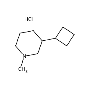 CN1CCCC(C2CCC2)C1.Cl